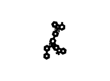 CC1CC=Cc2c1c1ccccc1n2-c1ccc(C2C=Cc3c(c4cc5c(cc4n3-c3cccc(-c4ccccc4)c3)C(C)(C)c3ccccc3-5)C2)cc1